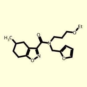 CCOCCCN(Cc1ccco1)C(=O)c1noc2c1CC(C)CC2